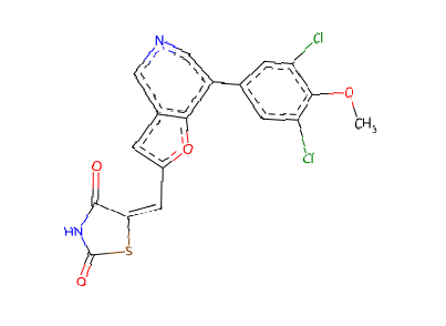 COc1c(Cl)cc(-c2cncc3cc(C=C4SC(=O)NC4=O)oc23)cc1Cl